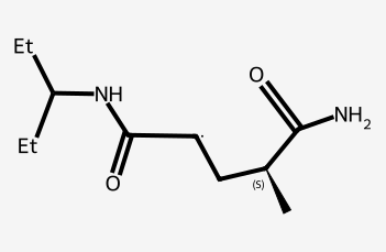 CCC(CC)NC(=O)[CH]C[C@H](C)C(N)=O